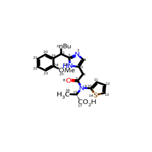 CCCCC(c1ncc(CC(=O)N(c2cccs2)[C@@H](C)C(=O)O)[nH]1)c1ccccc1OC